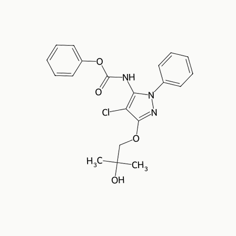 CC(C)(O)COc1nn(-c2ccccc2)c(NC(=O)Oc2ccccc2)c1Cl